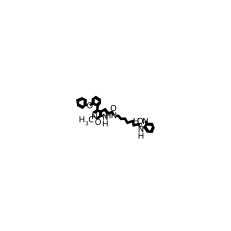 Cn1cc(-c2ccccc2Oc2ccccc2)c2cc(C(=O)NCCCCCCC(=O)Nc3ccccc3N)[nH]c2c1=O